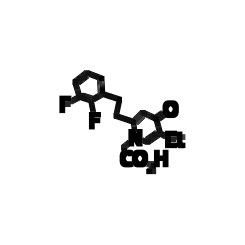 CCc1cn(CC(=O)O)c(CCc2cccc(F)c2F)cc1=O